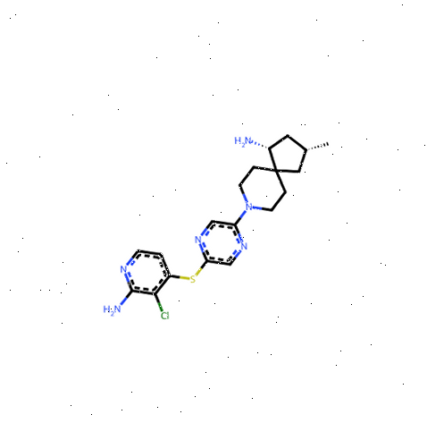 C[C@H]1C[C@@H](N)C2(CCN(c3cnc(Sc4ccnc(N)c4Cl)cn3)CC2)C1